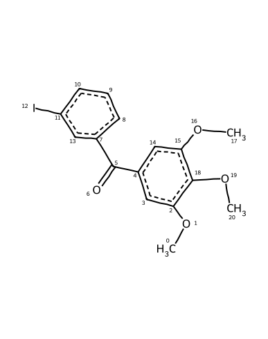 COc1cc(C(=O)c2cccc(I)c2)cc(OC)c1OC